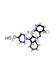 O=C(O)C1=CCN(c2cn(Cc3c(Cl)ccnc3C(F)(F)F)c3c2CCCC3)CC1